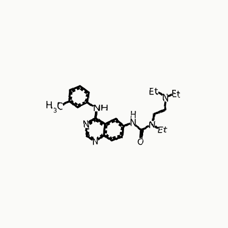 CCN(CC)CCN(CC)C(=O)Nc1ccc2ncnc(Nc3cccc(C)c3)c2c1